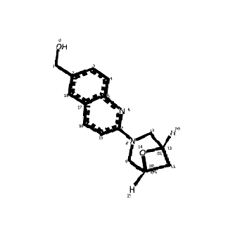 OCc1ccc2nc(N3C[C@H]4C[C@@H](C3)O4)ccc2c1